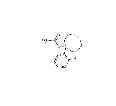 CC(=O)OC1(c2ccccc2F)CCCCCCC1